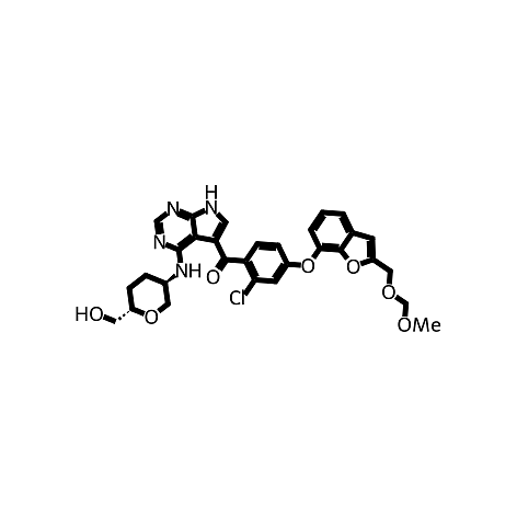 COCOCc1cc2cccc(Oc3ccc(C(=O)c4c[nH]c5ncnc(N[C@@H]6CC[C@@H](CO)OC6)c45)c(Cl)c3)c2o1